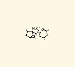 C[Si]1(C2CC3CCC2C3)CCCCO1